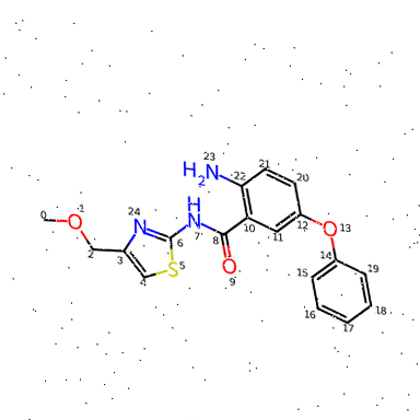 COCc1csc(NC(=O)c2cc(Oc3ccccc3)ccc2N)n1